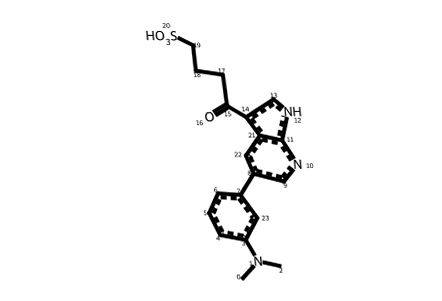 CN(C)c1cccc(-c2cnc3[nH]cc(C(=O)CCCS(=O)(=O)O)c3c2)c1